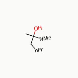 CCCCC(C)(O)NC